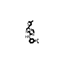 Cc1csc(C2CN=C3C(Nc4cccc(N(C)C)c4)=NC=CN32)c1